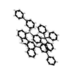 c1ccc(-c2cccc(-c3cc4c(oc5cccc(N(c6cccc(-c7ccccc7)c6)c6ccc7c(c6)C(c6ccccc6)(c6ccccc6)c6ccccc6-7)c54)c4ccccc34)c2)cc1